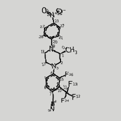 C[C@H]1CN(c2ccc(C#N)c(C(F)(F)F)c2F)CCN1c1ccc([N+](=O)[O-])cc1